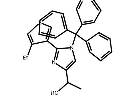 CCc1cscc1-c1nc(C(C)O)cn1C(c1ccccc1)(c1ccccc1)c1ccccc1